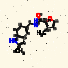 Cc1cc2cc(CNC(=O)c3occc3C)ccc2[nH]1